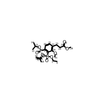 CCOP(=O)(OCC)c1c(P(=O)(OC(C)C)OC(C)C)ccc(CCC(=O)OC)c1OC